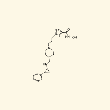 O=C(NO)c1cnc(CCCN2CCC(CNC3CC3c3ccccc3)CC2)s1